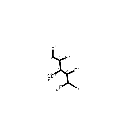 FCC(F)C(F)C(F)C(F)F.[Cu]